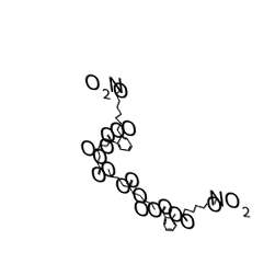 O=C(COC(=O)COC(=O)c1ccccc1OC(=O)CCCCCO[N+](=O)[O-])OCCOC(=O)COC(=O)COC(=O)c1ccccc1OC(=O)CCCCCO[N+](=O)[O-]